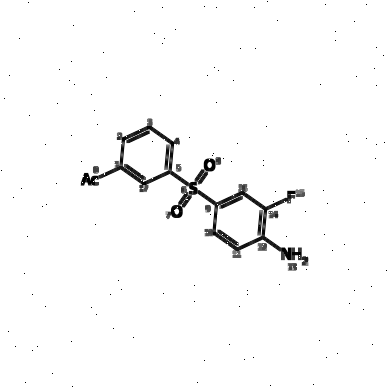 CC(=O)c1cccc(S(=O)(=O)c2ccc(N)c(F)c2)c1